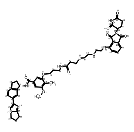 COc1cc(C(=O)N[C@@H]2CCc3ccc(-c4cn5c(n4)CCC5)cc32)cc(OCCCNC(=O)CCOCCOCCNc2cccc3c2C(=O)N(C2CCC(=O)NC2=O)C3=O)c1C